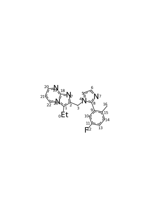 CCc1c(Cn2ccnc2-c2cc(F)ccc2C)nc2ncccn12